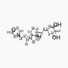 C=C1[C@H](O)CC(=C/C=C2\CCC[C@]3(C)[C@@H](C(C)CCN4CCO[C@@H](C)C4)CC[C@@H]23)C[C@H]1O